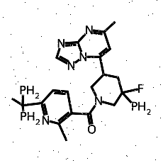 Cc1cc(C2CN(C(=O)c3ccc(C(C)(P)P)nc3C)CC(F)(P)C2)n2ncnc2n1